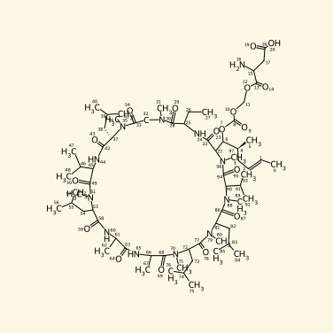 C/C=C/C[C@H](C)C(OC(=O)OCOC(=O)C(N)CC(=O)O)C1C(=O)NC(CC)C(=O)N(C)CC(=O)N(C)[C@@H](CC(C)C)C(=O)NC(C(C)C)C(=O)N(C)C(CC(C)C)C(=O)NC(C)C(=O)NC(C)C(=O)N(C)C(CC(C)C)C(=O)N(C)C(CC(C)C)C(=O)N(C)C(C(C)C)C(=O)N1C